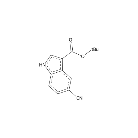 CC(C)(C)OC(=O)c1c[nH]c2ccc(C#N)cc12